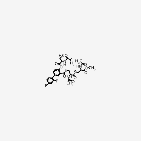 COC(=O)C(CSC(=O)C(CSC(=O)c1cc(-c2ccc(F)cc2F)ccc1OC(=O)C(CS)NC(C)=O)NC(C)=O)NC(C)=O